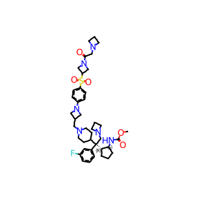 COC(=O)N[C@H]1CCC[C@@H]1C(CN1CCC1)(c1cccc(F)c1)C1CCN(CC2CN(c3ccc(S(=O)(=O)C4CN(C(=O)CN5CCC5)C4)cc3)C2)CC1